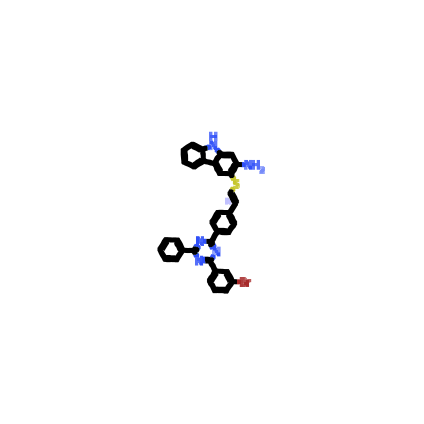 Nc1cc2[nH]c3ccccc3c2cc1S/C=C/c1ccc(-c2nc(-c3ccccc3)nc(-c3cccc(Br)c3)n2)cc1